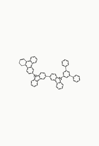 C1=Cc2c(c3ccc(-n4c5ccccc5c5cc(-c6ccc7c(c6)c6ccccc6n7-c6cc(-c7ccccc7)cc(-c7ccccc7)c6)ccc54)cc3c3ccccc23)CC1